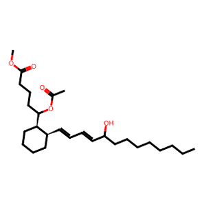 CCCCCCCCC(O)C=CC=C[C@H]1CCCC[C@H]1C(CCCC(=O)OC)OC(C)=O